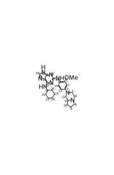 COc1cc(N2CCN3CCCC3C2)ccc1Nc1nc(NC2CCCCC2)c2nc[nH]c2n1